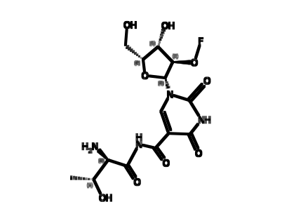 C[C@@H](O)[C@@H](N)C(=O)NC(=O)c1cn([C@@H]2O[C@H](CO)[C@H](O)[C@H]2OF)c(=O)[nH]c1=O